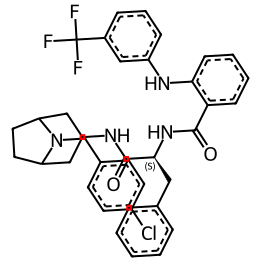 O=C(N[C@@H](Cc1ccccc1)C(=O)NC1CC2CCC(C1)N2Cc1ccc(Cl)cc1)c1ccccc1Nc1cccc(C(F)(F)F)c1